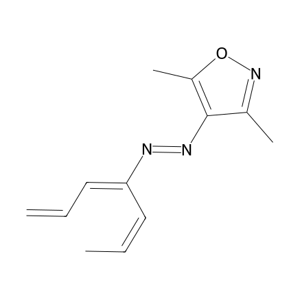 C=C/C=C(\C=C/C)/N=N/c1c(C)noc1C